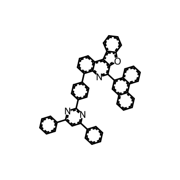 c1ccc(-c2cc(-c3ccccc3)nc(-c3ccc(-c4cccc5c4nc(-c4cc6ccccc6c6ccccc46)c4oc6ccccc6c45)cc3)n2)cc1